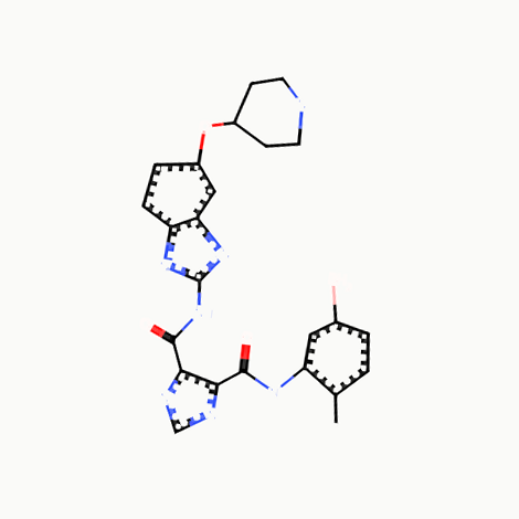 Bc1ccc(C)c(NC(=O)c2nc[nH]c2C(=O)Nc2nc3cc(OC4CCNCC4)ccc3[nH]2)c1